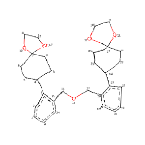 c1ccc(C2CCC3(CC2)OCCO3)c(COCc2ccccc2C2CCC3(CC2)OCCO3)c1